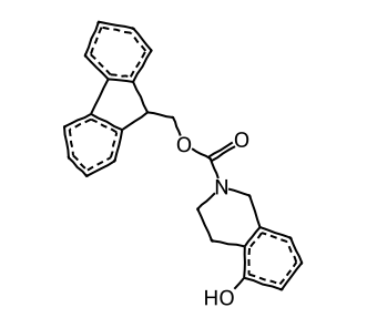 O=C(OCC1c2ccccc2-c2ccccc21)N1CCc2c(O)cccc2C1